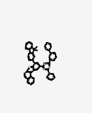 CC1(C)c2ccccc2-c2ccc(-c3cc(-c4nc(-c5ccccc5)nc(-c5cccc(-c6ccccc6)c5)n4)cc4c3oc3ccc5ccccc5c34)cc21